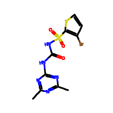 Cc1nc(C)nc(NC(=O)NS(=O)(=O)c2sccc2Br)n1